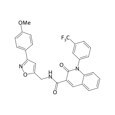 COc1ccc(-c2cc(CNC(=O)c3cc4ccccc4n(-c4cccc(C(F)(F)F)c4)c3=O)on2)cc1